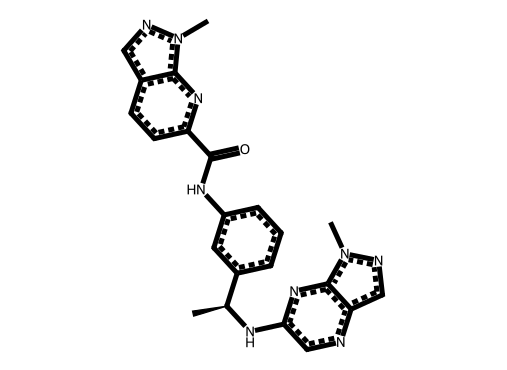 C[C@H](Nc1cnc2cnn(C)c2n1)c1cccc(NC(=O)c2ccc3cnn(C)c3n2)c1